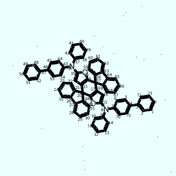 c1ccc(-c2ccc(N(c3ccccc3)c3cc4c(o3)C3(c5ccccc5-c5ccccc53)c3cc(N(c5ccccc5)c5ccc(-c6ccccc6)cc5)oc3C43c4ccccc4-c4ccccc43)cc2)cc1